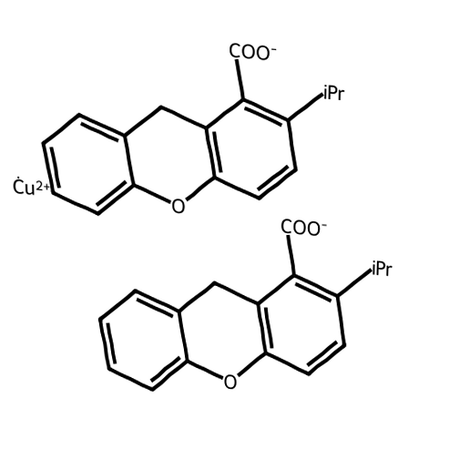 CC(C)c1ccc2c(c1C(=O)[O-])Cc1ccccc1O2.CC(C)c1ccc2c(c1C(=O)[O-])Cc1ccccc1O2.[Cu+2]